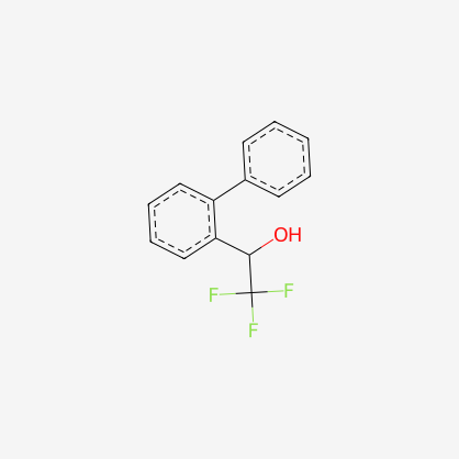 OC(c1ccccc1-c1ccccc1)C(F)(F)F